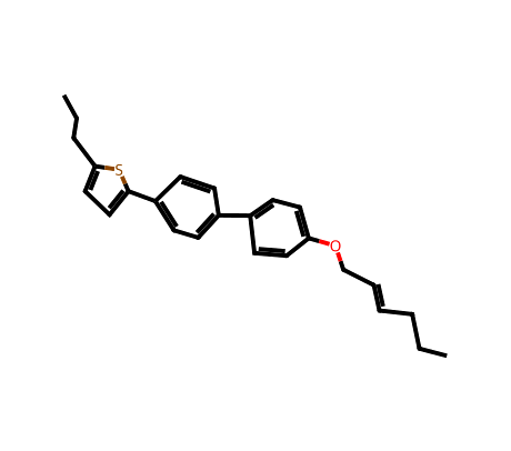 CCCC=CCOc1ccc(-c2ccc(-c3ccc(CCC)s3)cc2)cc1